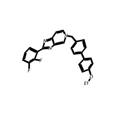 CCOc1ccc(-c2ccc(Cn3ccc4nc(-c5cccc(F)c5F)nc-4c3)cc2)cc1